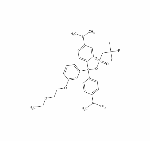 CCOCCOc1cccc(S(OS(=O)(=O)CC(F)(F)F)(c2ccc(N(C)C)cc2)c2ccc(N(C)C)cc2)c1